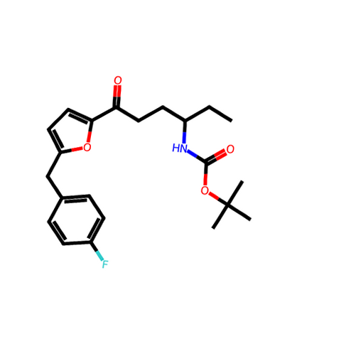 CCC(CCC(=O)c1ccc(Cc2ccc(F)cc2)o1)NC(=O)OC(C)(C)C